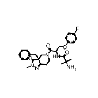 CN1N=C2CCN(C(=O)C(COc3ccc(F)cc3)NC(=O)C(C)(C)N)CC2(Cc2ccccc2)C1=O